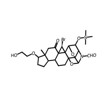 CC12CC(=O)C34C(CCC56CC7C(O[Si](C)(C)C)C(OC(O5)N7C=O)C63[C@@H]4Br)C1CCC2OCCO